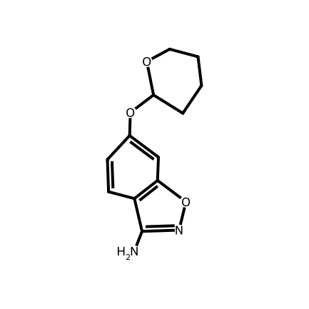 Nc1noc2cc(OC3CCCCO3)ccc12